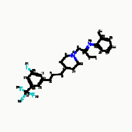 CC/C(CN1CCC(CCCc2cc(F)cc(C(F)(F)F)c2)CC1)=N\c1ccccc1C